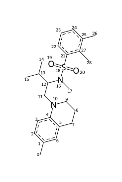 Cc1ccc2c(c1)CCCN2CC(C(C)C)N(C)S(=O)(=O)c1cccc(C)c1C